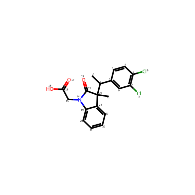 CC(c1ccc(Cl)c(Cl)c1)C1(C)C(=O)N(CC(=O)O)c2ccccc21